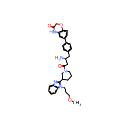 COCCCn1c(C2CCCN(C(=O)CC(N)Cc3ccc(-c4ccc5c(c4)NC(=O)CO5)cc3)C2)nc2ccccc21